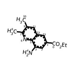 CCOC(=O)c1cc(N)c2nc(C)c(C)cc2c1